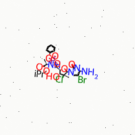 CC(C)OC(=O)[C@@H](C)NP(=O)(OC[C@H]1OC(n2cc(Br)c(N)nc2=O)[C@](C)(Cl)[C@@H]1O)Oc1ccccc1